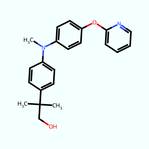 CN(c1ccc(Oc2ccccn2)cc1)c1ccc(C(C)(C)CO)cc1